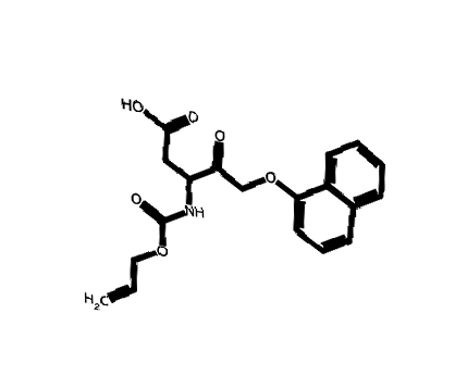 C=CCOC(=O)NC(CC(=O)O)C(=O)COc1cccc2ccccc12